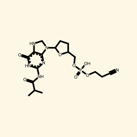 CC(C)C(=O)Nc1nc2c(c(=O)[nH]1)NCN2C1CCC(COP(=O)(O)OCCC#N)O1